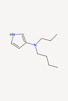 CCCCN(CCC)c1[c][nH]cc1